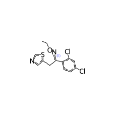 CCO/N=C(\Cc1cncs1)c1ccc(Cl)cc1Cl